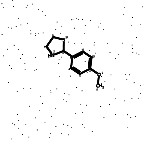 COc1ccc(C2NCCS2)cc1